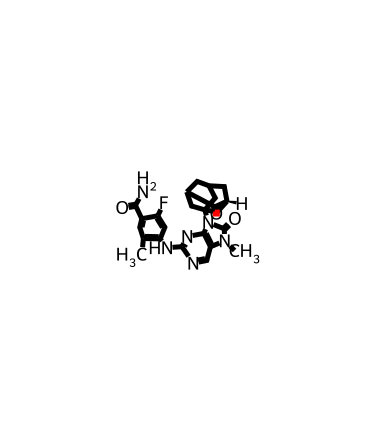 Cc1cc(C(N)=O)c(F)cc1Nc1ncc2c(n1)n(C13CC4CC(C1)C(=O)[C@H](C4)C3)c(=O)n2C